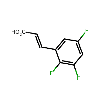 O=C(O)C=Cc1cc(F)cc(F)c1F